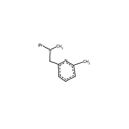 Cc1cccc(CN(C)C(C)C)n1